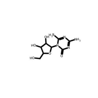 Bc1nc(N)nc(=O)n1C1OC(CO)C(O)C1O